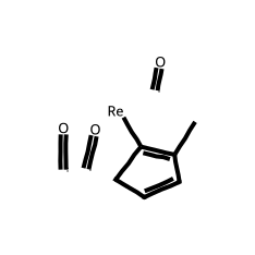 CC1=[C]([Re])CC=C1.[C]=O.[C]=O.[C]=O